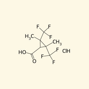 CC1(C(F)(F)F)C(C(=O)O)C1(C)C(F)(F)F.Cl